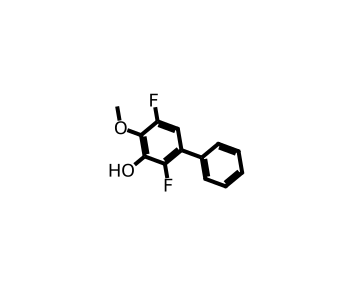 COc1c(F)cc(-c2ccccc2)c(F)c1O